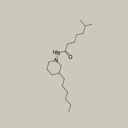 CCCCCCC1CCCN(NC(=O)CCCCC(C)C)C1